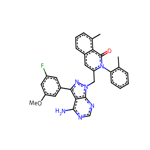 COc1cc(F)cc(-c2nn(Cc3cc4cccc(C)c4c(=O)n3-c3ccccc3C)c3ncnc(N)c23)c1